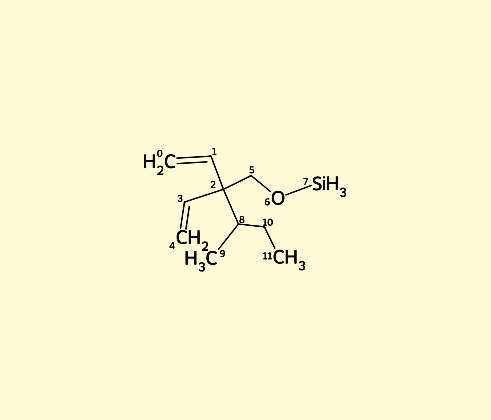 C=CC(C=C)(CO[SiH3])C(C)CC